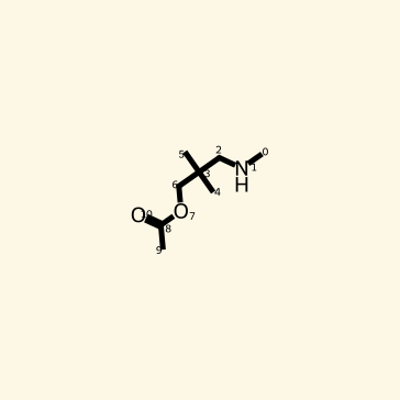 CNCC(C)(C)COC(C)=O